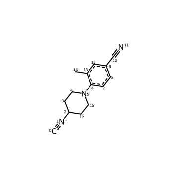 [C-]#[N+]C1CCN(c2ccc(C#N)cc2C)CC1